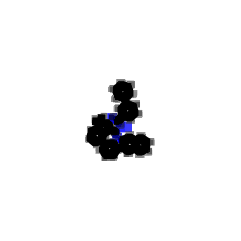 CC1(C)C2=C(c3ccccc31)C(n1c3ccccc3c3cc4ccccc4cc31)NC(c1cccc(-c3ccccc3)c1)=N2